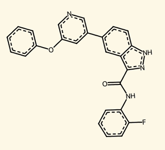 O=C(Nc1ccccc1F)c1n[nH]c2ccc(-c3cncc(Oc4ccccc4)c3)cc12